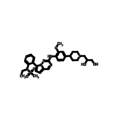 CCN(c1ccccc1-c1ccc2cnc(Nc3ccc(C4CCN(CC(O)CO)CC4)cc3OC)nn12)S(C)(=O)=O